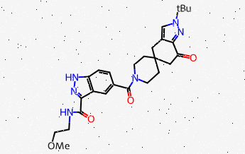 COCCNC(=O)c1n[nH]c2ccc(C(=O)N3CCC4(CC3)CC(=O)c3nn(C(C)(C)C)cc3C4)cc12